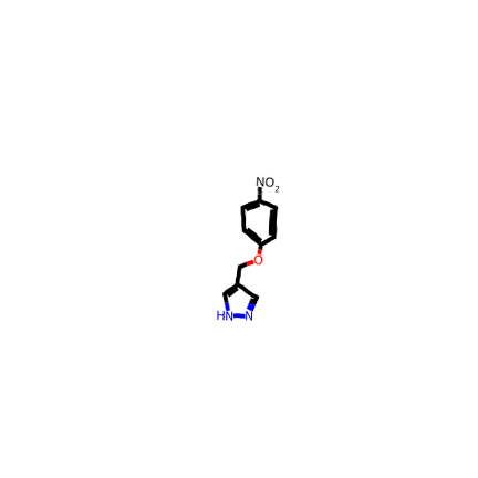 O=[N+]([O-])c1ccc(OCc2cn[nH]c2)cc1